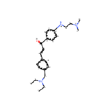 CCN(CC)Cc1ccc(C=CC(=O)c2ccc(NCCN(C)C)cc2)cc1